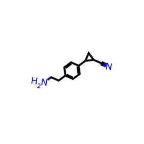 N#CC1CC1c1ccc(CCN)cc1